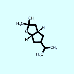 CC(C)C1C[C@H]2CC(C)(C)O[C@H]2C1